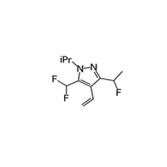 C=Cc1c(C(C)F)nn(C(C)C)c1C(F)F